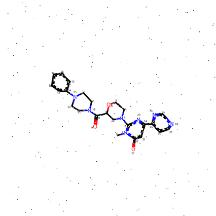 Cn1c(N2CCOC(C(=O)N3CCN(c4ccccc4)CC3)C2)nc(-c2ccncn2)cc1=O